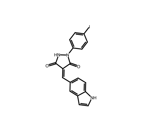 O=C1NN(c2ccc(I)cc2)C(=O)/C1=C\c1ccc2[nH]ccc2c1